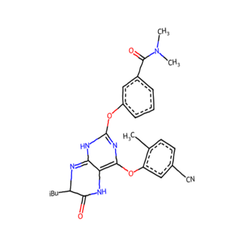 CCC(C)C1N=C2NC(Oc3cccc(C(=O)N(C)C)c3)=NC(Oc3cc(C#N)ccc3C)=C2NC1=O